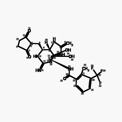 C=C1N[C@H]2[C@H](CN3C(=O)CCC3=O)NC(=N)N3C[C@H](NC(=O)c4cccc(C(F)(F)F)c4C)C(O)(O)[C@]23N1